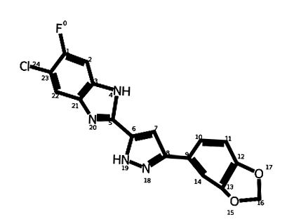 Fc1cc2[nH]c(-c3cc(-c4ccc5c(c4)OCO5)n[nH]3)nc2cc1Cl